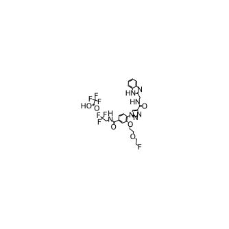 O=C(NCC(F)(F)F)c1ccc(-n2cc(C(=O)NCc3nc4ccccc4[nH]3)nn2)c(OCCOCCF)c1.O=C(O)C(F)(F)F